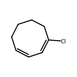 ClC1=CC=CCCCC1